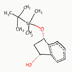 CC(C)(C)[Si](C)(C)O[C@H]1C[C@@H](O)c2ccccc21